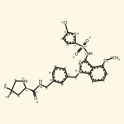 COc1cccc2c1c(NS(=O)(=O)c1ccc(Cl)s1)nn2Cc1cccc(CNC(=O)[C@H]2CC(F)(F)CN2)c1